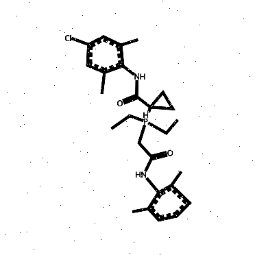 CC[PH](CC)(CC(=O)Nc1c(C)cccc1C)C1(C(=O)Nc2c(C)cc(Cl)cc2C)CC1